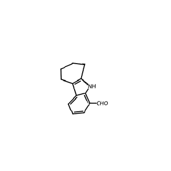 O=Cc1cccc2c3c([nH]c12)CCCC3